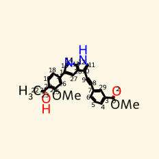 COC(=O)c1cccc(C#Cc2c[nH]c3ncc(-c4ccc(C(C)O)c(OC)c4)cc23)c1